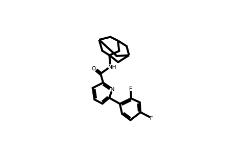 O=C(NC12CC3CC(CC(C3)C1)C2)c1cccc(-c2ccc(F)cc2F)n1